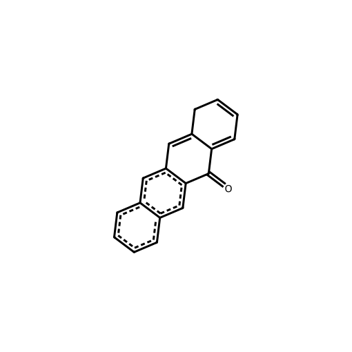 O=C1C2=CC=CCC2=Cc2cc3ccccc3cc21